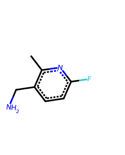 Cc1nc(F)ccc1CN